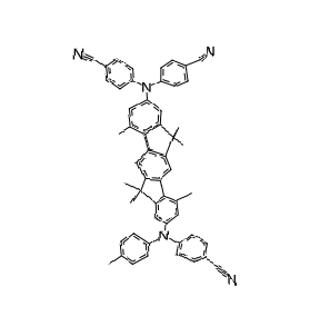 Cc1ccc(N(c2ccc(C#N)cc2)c2cc(C)c3c(c2)C(C)(C)c2cc4c(cc2-3)C(C)(C)c2cc(N(c3ccc(C#N)cc3)c3ccc(C#N)cc3)cc(C)c2-4)cc1